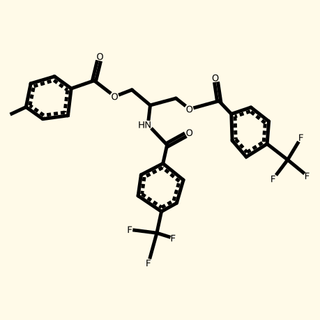 Cc1ccc(C(=O)OCC(COC(=O)c2ccc(C(F)(F)F)cc2)NC(=O)c2ccc(C(F)(F)F)cc2)cc1